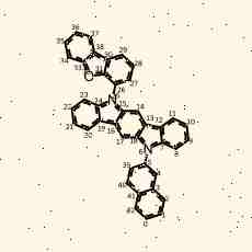 c1ccc2cc(-n3c4ccccc4c4cc5c(cc43)c3ccccc3n5-c3cccc4c3oc3ccccc34)ccc2c1